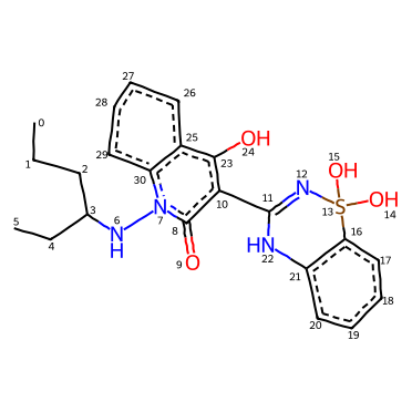 CCCC(CC)Nn1c(=O)c(C2=NS(O)(O)c3ccccc3N2)c(O)c2ccccc21